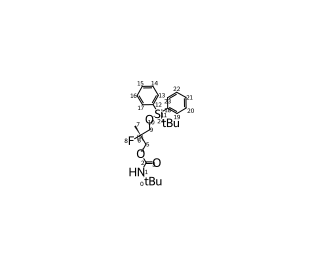 CC(C)(C)NC(=O)OC[C@](C)(F)CO[Si](c1ccccc1)(c1ccccc1)C(C)(C)C